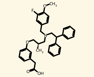 COc1ccc(CN(CC(c2ccccc2)c2ccccc2)C[C@@H](C)COc2cccc(CC(=O)O)c2)cc1F